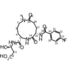 CN1CCC[C@@H](C(=O)N[C@H](C=O)CC(=O)O)NC(=O)[C@@H](NC(=O)c2ccc(F)cc2)CCC1=O